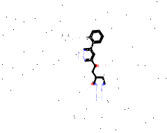 COc1ccccc1-c1cncc(C(=O)CC2CCNC2=O)c1